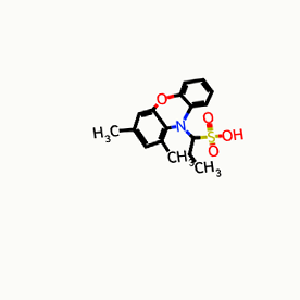 CCC(N1c2ccccc2Oc2cc(C)cc(C)c21)S(=O)(=O)O